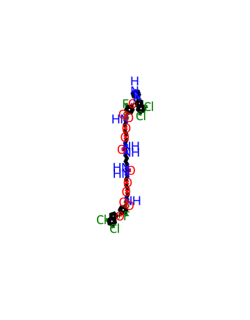 O=C(NCCCCNC(=O)NCCOCCOCCNS(=O)(=O)c1ccc(O[C@H]2c3cc(Cl)cc(Cl)c3C[C@@H]2N2CCNCC2)c(F)c1)NCCOCCOCCNS(=O)(=O)c1ccc(O[C@@H]2CCc3c(Cl)cc(Cl)cc32)c(F)c1